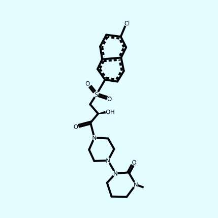 CN1CCCN(N2CCN(C(=O)[C@H](O)CS(=O)(=O)c3ccc4cc(Cl)ccc4c3)CC2)C1=O